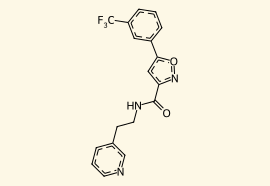 O=C(NCCc1cccnc1)c1cc(-c2cccc(C(F)(F)F)c2)on1